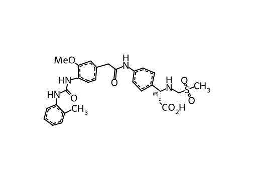 COc1cc(CC(=O)Nc2ccc([C@@H](CC(=O)O)NCS(C)(=O)=O)cc2)ccc1NC(=O)Nc1ccccc1C